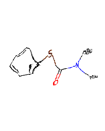 CCCCN(CCCC)C(=O)Sc1ccccc1